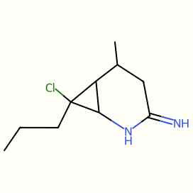 CCCC1(Cl)C2NC(=N)CC(C)C21